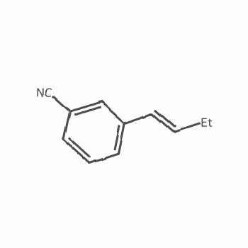 CCC=Cc1cccc(C#N)c1